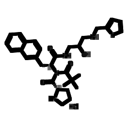 CC(C)(C)C(=O)N(C(=O)[C@@H]1CCCN1)[C@H](Cc1ccc2ccccc2c1)C(=O)NCC(O)CNCc1cccs1.Cl